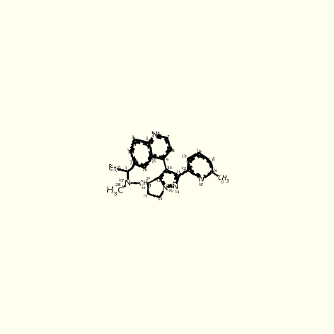 [CH2]CC(c1ccc2nccc(-c3c(-c4cccc(C)n4)nn4c3CCC4)c2c1)N(C)C